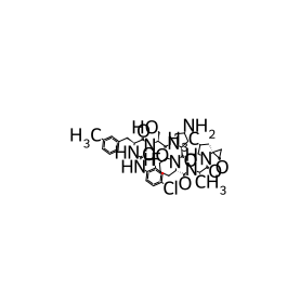 Cc1cccc(C[C@H](NC(=O)Nc2ccc(Cl)cc2F)C(=O)N[C@@H](CO)C(=O)N2C[C@@H](N)C[C@H]2C(=O)N2CCCC[C@H]2C(=O)N[C@@H](C)C(=O)N2C[C@H](C)C[C@@]23CC3=O)c1